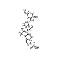 COc1ccc(N)c(Nc2cccc3c2OC[C@H]3N(C(=O)C(F)(F)F)c2ccc3c(c2)OC[C@H]3CC(=O)O)c1